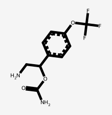 NCC(OC(N)=O)c1ccc(OC(F)(F)F)cc1